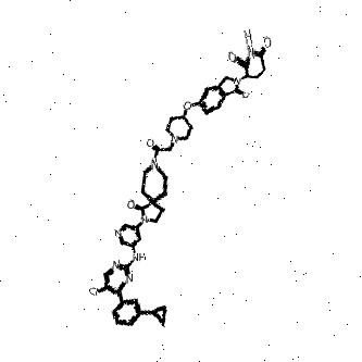 O=C1CCC(N2Cc3cc(OC4CCN(CC(=O)N5CCC6(CC5)CCN(c5cncc(Nc7ncc(Cl)c(-c8cccc(C9CC9)c8)n7)c5)C6=O)CC4)ccc3C2=O)C(=O)N1